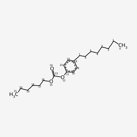 CCCCCCCCc1ccc(OC(=O)OCCCCCC)cc1